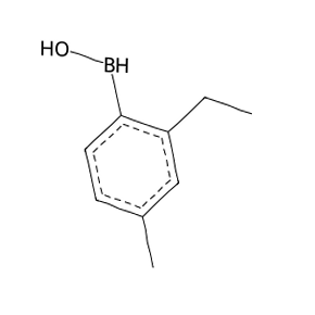 CCc1cc(C)ccc1BO